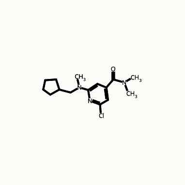 CN(C)C(=O)c1cc(Cl)nc(N(C)CC2CCCC2)c1